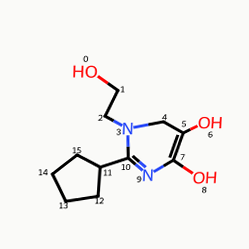 OCCN1CC(O)=C(O)N=C1C1CCCC1